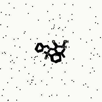 CC(C)CC(C(=O)NO)N(Cc1ccccc1)P(C)(=O)c1ccccc1